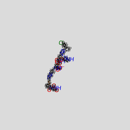 CC1(C)CCC(CN2CCN(c3ccc(C(=O)NS(=O)(=O)c4ccc(NCC5CCC(N6CCN(CCCSc7cccc8c7CN(C7CCC(=O)NC7=O)C8=O)CC6)CC5)c([N+](=O)[O-])c4)c(Oc4cnc5[nH]ccc5c4)c3)CC2)=C(c2ccc(Cl)cc2)C1